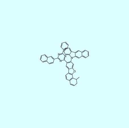 CC1CC=Cc2ccc3c(oc4cc(-n5c6ccccc6c6cc7ccccc7cc65)c(-c5nc(-c6ccccc6)nc(-c6ccc7ccccc7c6)n5)cc43)c21